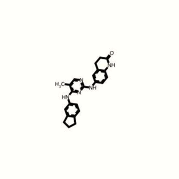 Cc1cnc(Nc2ccc3c(c2)CCC(=O)N3)nc1Nc1ccc2c(c1)CCC2